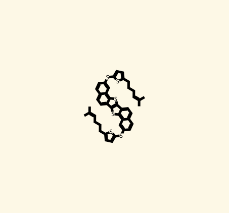 CC(C)=CCCCc1ccc(Sc2ccc3ccc4c(sc5c6ccc7ccc(Sc8ccc(CCCC=C(C)C)s8)cc7c6sc45)c3c2)s1